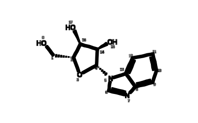 OC[C@H]1O[C@@H](n2cnc3ccccc32)[C@H](O)[C@@H]1O